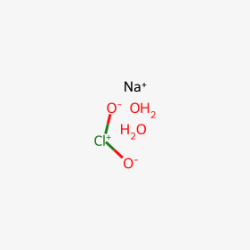 O.O.[Na+].[O-][Cl+][O-]